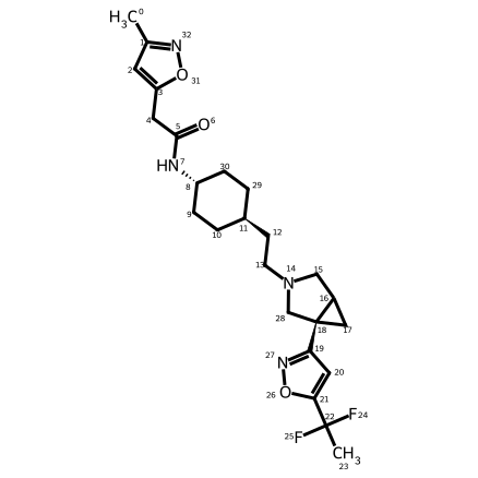 Cc1cc(CC(=O)N[C@H]2CC[C@H](CCN3CC4C[C@]4(c4cc(C(C)(F)F)on4)C3)CC2)on1